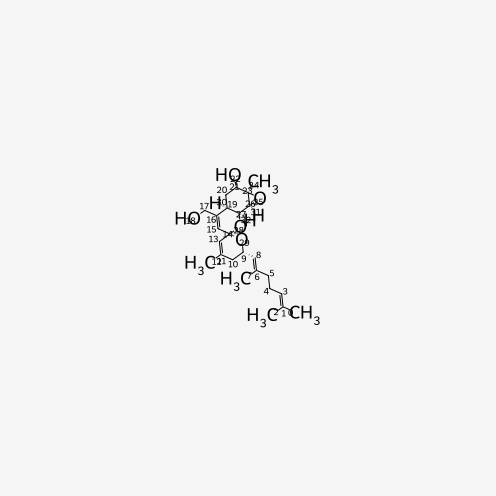 CC(C)=CCC/C(C)=C/[C@@H]1CC(C)=C[C@]2(C=C(CO)[C@H]3C[C@@H](O)[C@@]4(C)O[C@H]4[C@H]3O2)O1